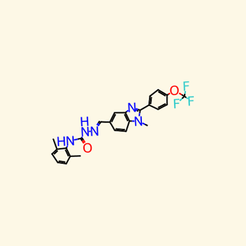 Cc1cccc(C)c1NC(=O)N/N=C/c1ccc2c(c1)nc(-c1ccc(OC(F)(F)F)cc1)n2C